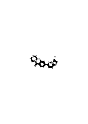 O=C(c1ccc(-c2ccc3ncc(I)n3n2)cc1F)N1CCOCC1